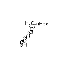 CCCCCCC(C)COOOOOOOO